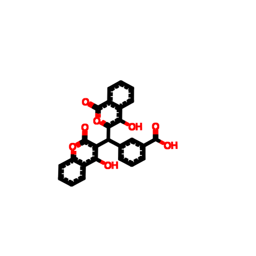 O=C(O)c1cccc(C(c2oc(=O)c3ccccc3c2O)c2c(O)c3ccccc3oc2=O)c1